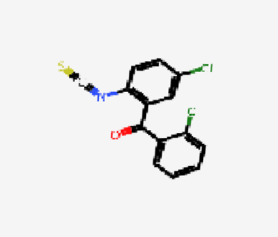 O=C(c1ccccc1Cl)c1cc(Cl)ccc1N=C=S